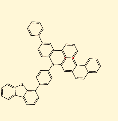 c1ccc(-c2ccc(N(c3ccc(-c4cccc5c4sc4ccccc45)cc3)c3ccc4c(ccc5ccccc54)c3)c(-c3ccccc3)c2)cc1